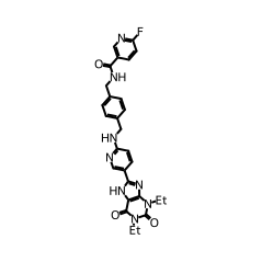 CCn1c(=O)c2[nH]c(-c3ccc(NCc4ccc(CNC(=O)c5ccc(F)nc5)cc4)nc3)nc2n(CC)c1=O